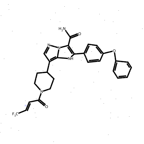 NC(=O)c1c(-c2ccc(Oc3ccccc3)cc2)[nH]c2c(C3CCN(C(=O)/C=C/C(F)(F)F)CC3)cnn12